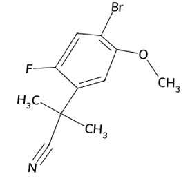 COc1cc(C(C)(C)C#N)c(F)cc1Br